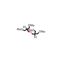 CCC(COC)(COC)COCC(CC)(COC)COC